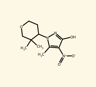 Cc1c([N+](=O)[O-])c(O)nn1C1CCOCC1(C)C